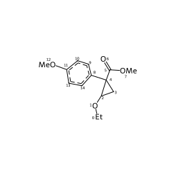 CCOC1CC1(C(=O)OC)c1ccc(OC)cc1